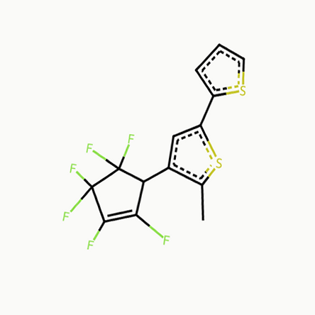 Cc1sc(-c2cccs2)cc1C1C(F)=C(F)C(F)(F)C1(F)F